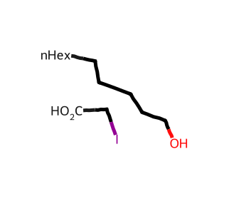 CCCCCCCCCCCO.O=C(O)CI